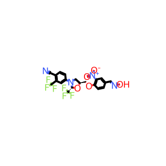 N#Cc1ccc(N2C[C@@H](COc3ccc(/C=N/O)cc3[N+](=O)[O-])O[C@@H]2C(F)(F)F)cc1C(F)(F)F